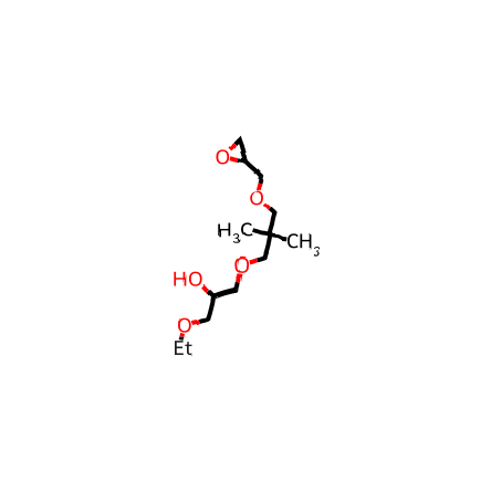 CCOCC(O)COCC(C)(C)COCC1CO1